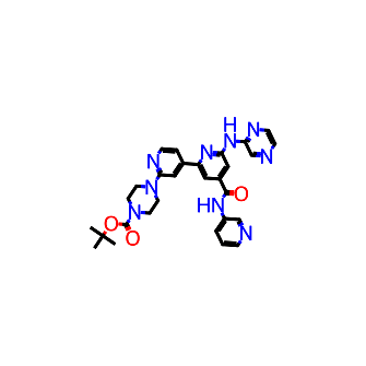 CC(C)(C)OC(=O)N1CCN(c2cc(-c3cc(C(=O)Nc4cccnc4)cc(Nc4cnccn4)n3)ccn2)CC1